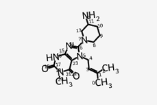 CC(C)=CCn1c(N2CCCC(N)C2)nc2[nH]c(=O)n(C)c(=O)c21